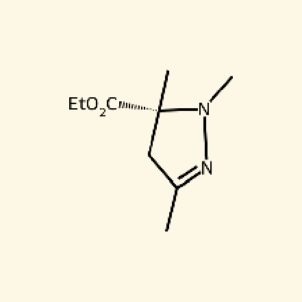 CCOC(=O)[C@@]1(C)CC(C)=NN1C